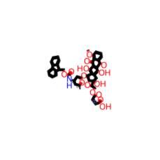 COc1cccc2c1C(=O)c1c(O)c3c(c(O)c1C2=O)C[C@@](O)(C(=O)COC(=O)/C=C\C(=O)O)C[C@@H]3O[C@H]1C[C@H](NC(=O)OCC2c3ccccc3-c3ccccc32)C[C@H](C)O1